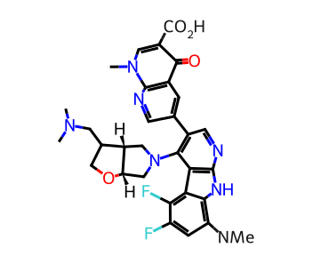 CNc1cc(F)c(F)c2c1[nH]c1ncc(-c3cnc4c(c3)c(=O)c(C(=O)O)cn4C)c(N3C[C@@H]4OCC(CN(C)C)[C@@H]4C3)c12